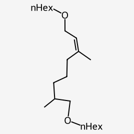 CCCCCCOCC=C(C)CCCC(C)COCCCCCC